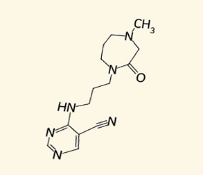 CN1CCCN(CCCNc2ncncc2C#N)C(=O)C1